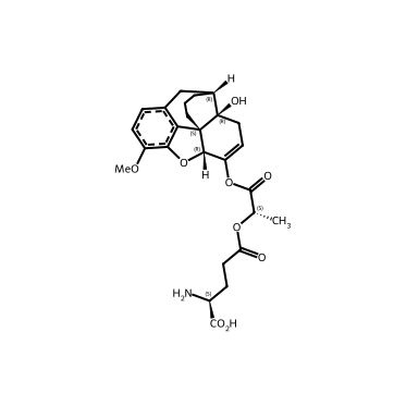 COc1ccc2c3c1O[C@H]1C(OC(=O)[C@H](C)OC(=O)CC[C@H](N)C(=O)O)=CC[C@@]4(O)[C@H](CCC[C@]314)C2